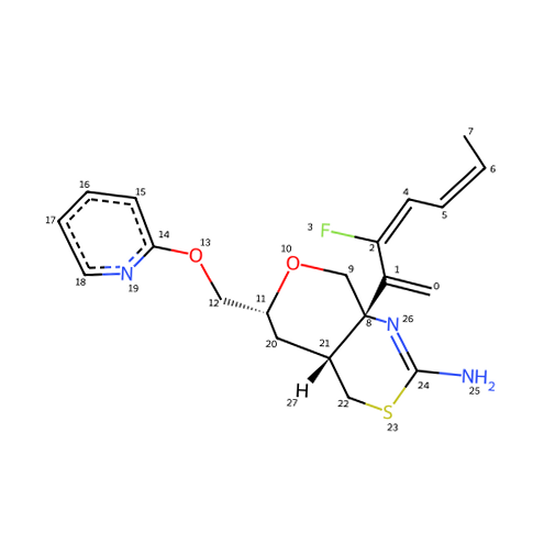 C=C(/C(F)=C\C=C/C)[C@]12CO[C@@H](COc3ccccn3)C[C@H]1CSC(N)=N2